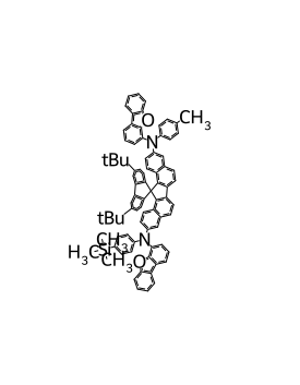 Cc1ccc(N(c2ccc3c4c(ccc3c2)-c2ccc3cc(N(c5ccc([Si](C)(C)C)cc5)c5cccc6c5oc5ccccc56)ccc3c2C42c3ccc(C(C)(C)C)cc3-c3cc(C(C)(C)C)ccc32)c2cccc3c2oc2ccccc23)cc1